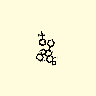 O[C@H]1CC2(CCC2)[C@@H](O)c2nc(C3CCOCC3)c3c(c21)C1(CCOCC1)O[C@@H]3c1ccc(C(F)(F)F)cc1